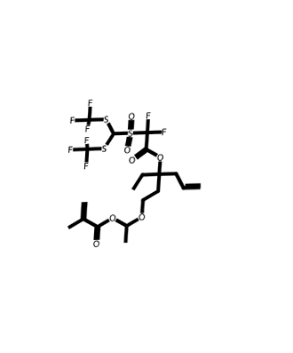 C=CCC(CC)(CCOC(C)OC(=O)C(=C)C)OC(=O)C(F)(F)S(=O)(=O)C(SC(F)(F)F)SC(F)(F)F